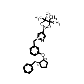 CC1(C)OB(c2cnn(Cc3cccc(O[C@@H]4C[CH]C[C@H]4Cc4ccccc4)c3)c2)OC1(C)C